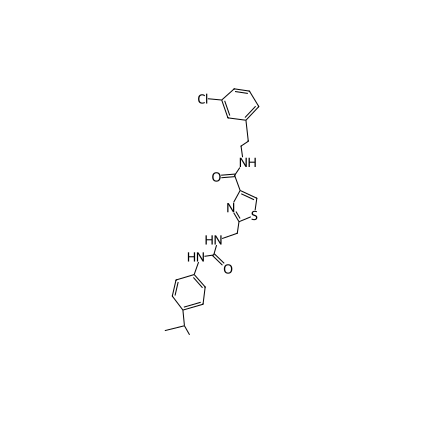 CC(C)c1ccc(NC(=O)NCc2nc(C(=O)NCCc3cccc(Cl)c3)cs2)cc1